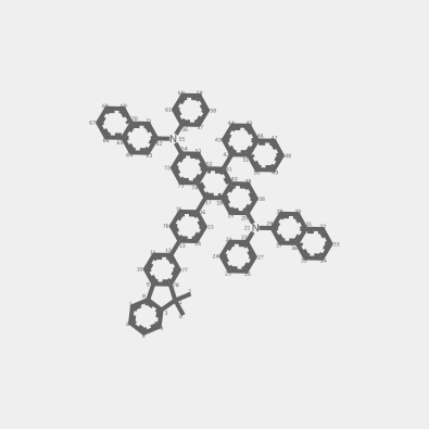 CC1(C)c2ccccc2-c2ccc(-c3ccc(-c4c5cc(N(c6ccccc6)c6ccc7ccccc7c6)ccc5c(-c5cccc6ccccc56)c5cc(N(c6ccccc6)c6ccc7ccccc7c6)ccc45)cc3)cc21